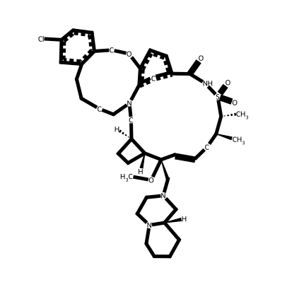 CO[C@@]1(CN2CCN3CCCC[C@H]3C2)/C=C/C[C@H](C)[C@@H](C)S(=O)(=O)NC(=O)c2ccc3c(c2)N(CCCCc2cc(Cl)ccc2CO3)C[C@@H]2CC[C@H]21